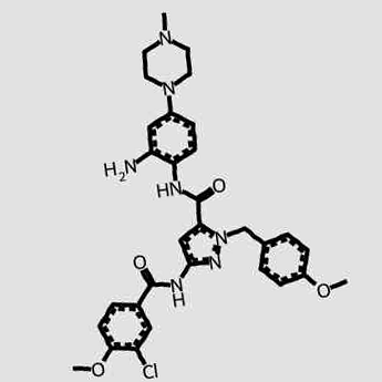 COc1ccc(Cn2nc(NC(=O)c3ccc(OC)c(Cl)c3)cc2C(=O)Nc2ccc(N3CCN(C)CC3)cc2N)cc1